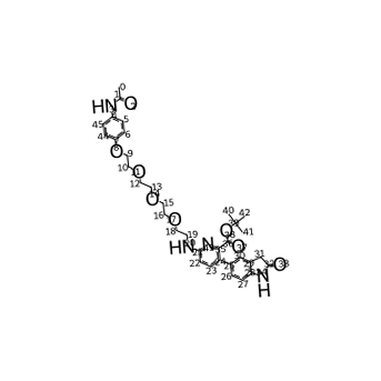 CC(=O)Nc1ccc(OCCOCCOCCOCCNc2ccc(-c3ccc4c(c3)CC(=O)N4)c(C(=O)OC(C)(C)C)n2)cc1